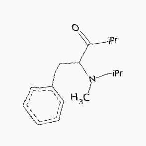 CC(C)C(=O)C(Cc1ccccc1)N(C)C(C)C